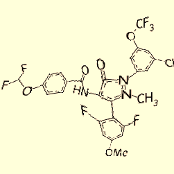 COc1cc(F)c(-c2c(NC(=O)c3ccc(OC(F)F)cc3)c(=O)n(-c3cc(Cl)cc(OC(F)(F)F)c3)n2C)c(F)c1